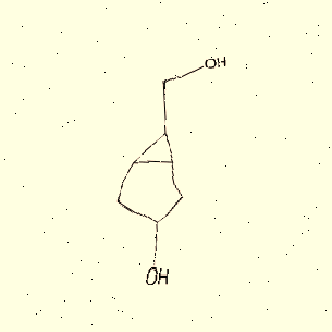 OCC1C2CC(O)CC12